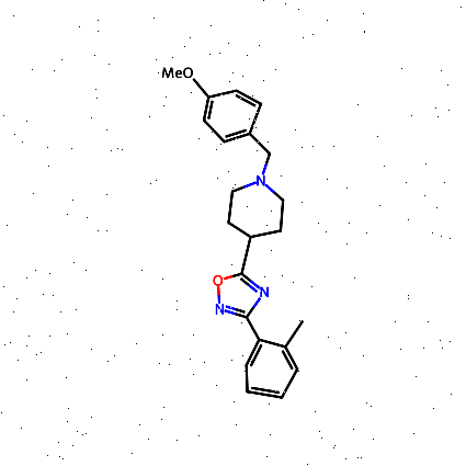 COc1ccc(CN2CCC(c3nc(-c4ccccc4C)no3)CC2)cc1